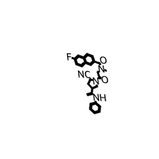 C=C(Nc1ccccc1)C1CC(C#N)N(C(=O)CN(C)C(=O)c2ccc3cc(F)ccc3c2)C1